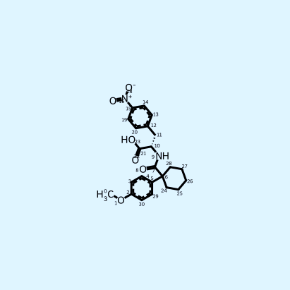 COc1ccc(C2(C(=O)N[C@@H](Cc3ccc([N+](=O)[O-])cc3)C(=O)O)CCCCC2)cc1